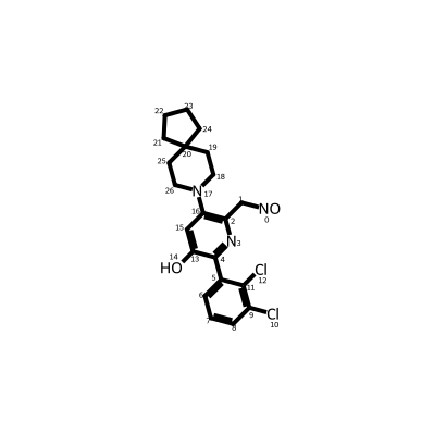 O=NCc1nc(-c2cccc(Cl)c2Cl)c(O)cc1N1CCC2(CCCC2)CC1